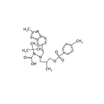 Cc1ccc(S(=O)(=O)OCC(C)CN(Cc2ccc3nc(C)sc3c2)N(C(=O)O)C(C)(C)C)cc1